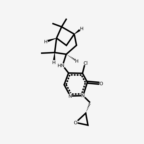 C[C@@H]1[C@H]2C[C@@H](C[C@H]1Nc1cnn(C[C@@H]3CO3)c(=O)c1Cl)C2(C)C